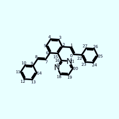 C(=C\c1cccc(/C=C/c2ccccc2)c1-c1ncccn1)/c1ccccc1